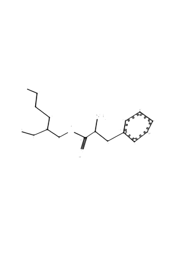 CCCCC(CC)COC(=O)C(N)Cc1ccccc1